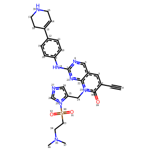 C#Cc1cc2cnc(Nc3ccc(C4=CCNCC4)cc3)nc2n(Cc2cncn2S(=O)(=O)CCN(C)C)c1=O